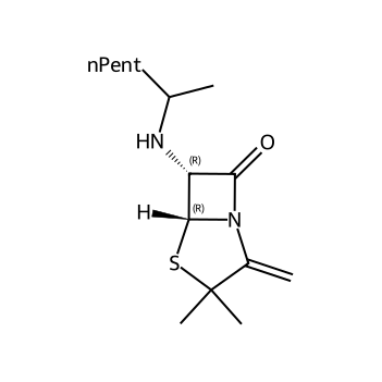 C=C1N2C(=O)[C@@H](NC(C)CCCCC)[C@H]2SC1(C)C